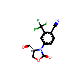 N#Cc1ccc(N2C(=O)OC[C@@H]2C=O)cc1C(F)(F)F